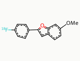 COc1ccc2cc(-c3ccc([18F])cc3)oc2c1